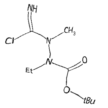 CCN(C(=O)OC(C)(C)C)N(C)C(=N)Cl